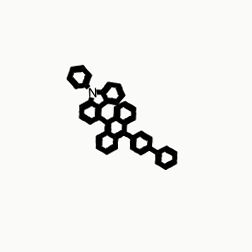 c1ccc(-c2ccc(-c3c4ccccc4c(-c4cccc5c4c4ccccc4n5-c4ccccc4)c4ccccc34)cc2)cc1